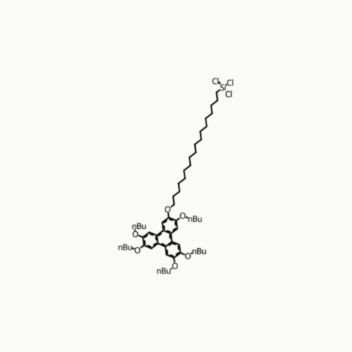 CCCCOc1cc2c3cc(OCCCC)c(OCCCC)cc3c3cc(OCCCCCCCCCCCCCCCCCC[Si](Cl)(Cl)Cl)c(OCCCC)cc3c2cc1OCCCC